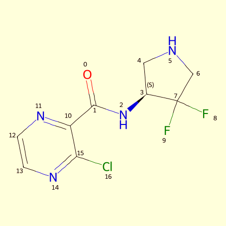 O=C(N[C@H]1CNCC1(F)F)c1nccnc1Cl